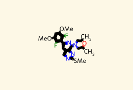 COc1cc(OC)c(F)c(-c2cc3cnc(SC)nc3c(N3CC(C)OC(C)C3)n2)c1F